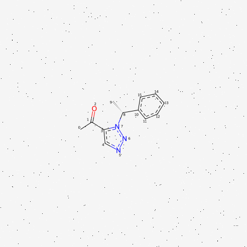 CC(=O)c1cnnn1[C@H](C)c1ccccc1